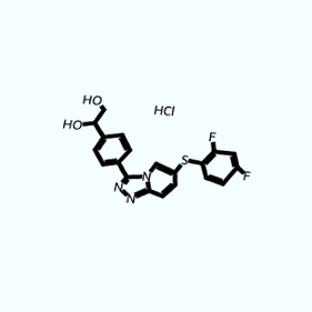 Cl.OCC(O)c1ccc(-c2nnc3ccc(Sc4ccc(F)cc4F)cn23)cc1